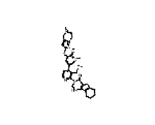 CN1CCn2nc(Nc3cc(-c4ccnc(N5CNC6=C(CC7=C6CCCC7)C5=O)c4CO)cn(C)c3=O)cc2C1